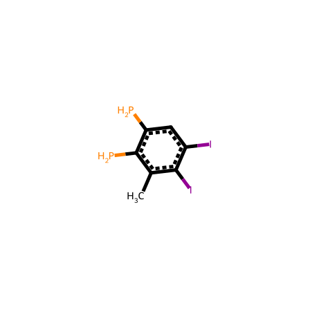 Cc1c(P)c(P)cc(I)c1I